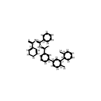 C=C(/N=C(\N=C(/C)c1cccc(-c2ccc(C)c(-c3ccccc3C)c2)c1)c1ccccc1)C1=CCCC=C1